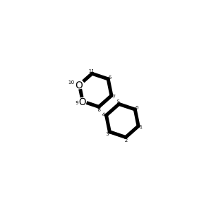 C1CCCCC1.C1CCOOC1